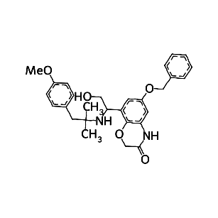 COc1ccc(CC(C)(C)NC(CO)c2cc(OCc3ccccc3)cc3c2OCC(=O)N3)cc1